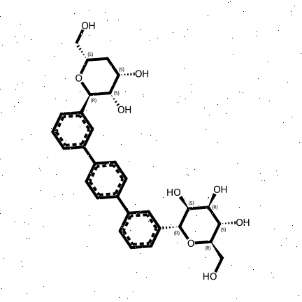 OC[C@@H]1C[C@H](O)[C@H](O)[C@@H](c2cccc(-c3ccc(-c4cccc([C@H]5O[C@H](CO)[C@@H](O)[C@H](O)[C@@H]5O)c4)cc3)c2)O1